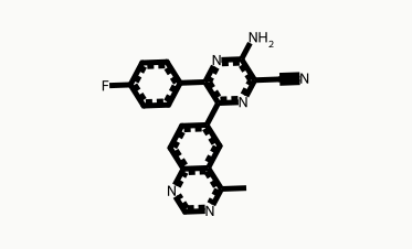 Cc1ncnc2ccc(-c3nc(C#N)c(N)nc3-c3ccc(F)cc3)cc12